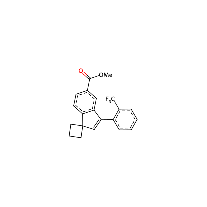 COC(=O)c1ccc2c(c1)C(c1ccccc1C(F)(F)F)=CC21CCC1